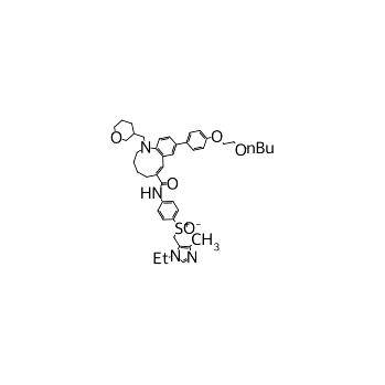 CCCCOCCOc1ccc(-c2ccc3c(c2)/C=C(/C(=O)Nc2ccc([S+]([O-])Cc4c(C)ncn4CC)cc2)CCCCN3CC2CCCOC2)cc1